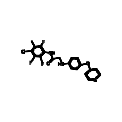 Cc1c(F)c(NC(=O)CNc2ccc(Oc3ccncc3)cc2)c(F)c(F)c1Cl